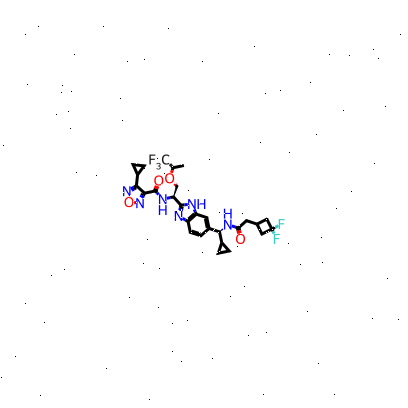 CC(OC[C@H](NC(=O)c1nonc1C1CC1)c1nc2ccc([C@H](NC(=O)CC3CC(F)(F)C3)C3CC3)cc2[nH]1)C(F)(F)F